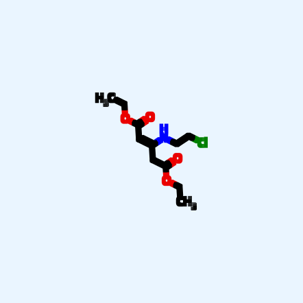 CCOC(=O)C=C(CC(=O)OCC)NCCCl